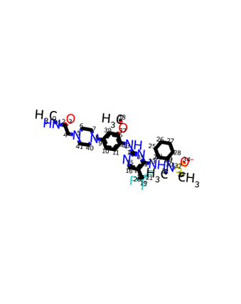 CNC(=O)CN1CCN(c2ccc(Nc3ncc(C(F)(F)F)c(N[C@@H]4CCCC[C@H]4N(C)[S+](C)[O-])n3)c(OC)c2)CC1